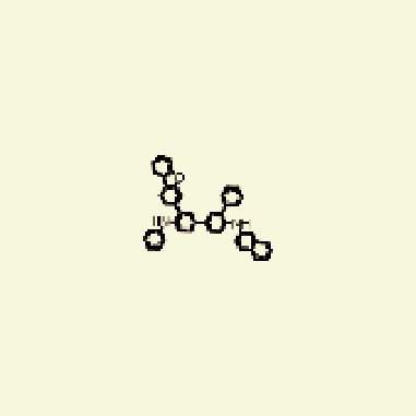 c1ccc(Nc2ccc(-c3ccc(Nc4ccc5ccccc5c4)c(-c4ccccc4)c3)cc2-c2ccc3c(c2)oc2ccccc23)cc1